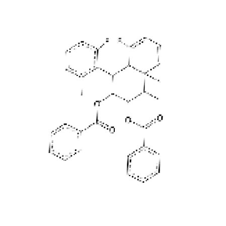 Cc1cccc(F)c1C1C(OC(=O)c2ccccc2)C(OC(=O)c2ccccc2)C(C)C2(C)C=CC=C(F)C12